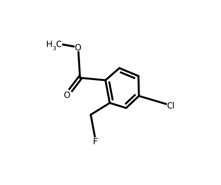 COC(=O)c1ccc(Cl)cc1CF